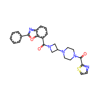 O=C(c1nccs1)N1CCN(C2CN(C(=O)c3cccc4nc(-c5ccccc5)oc34)C2)CC1